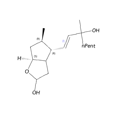 CCCCCC(C)(O)/C=C/[C@@H]1C2CC(O)O[C@H]2C[C@H]1C